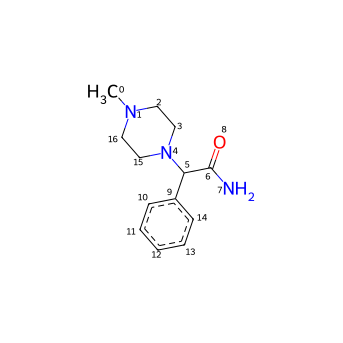 CN1CCN(C(C(N)=O)c2ccccc2)CC1